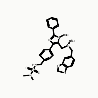 CCCCN(Cc1ccc2c(c1)OCO2)Cc1c(-c2ccc(CNS(=O)(=O)N(C)C)cc2)nc(-c2ccccc2)n1CCCC